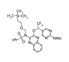 CCCS(=O)(=O)N(COCC[Si](C)(C)C)c1nc2ccccc2nc1OC(c1cnc(NC)nc1)C(F)(F)F